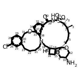 C[C@@H]1[C@@H](C)CCC[C@]2(OC[C@H](N)CO2)[C@@H]2CC[C@H]2CN2CCCCc3cc(Cl)ccc3COc3ccc(cc32)C(=O)NS1(=O)=O